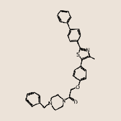 Cc1nc(-c2ccc(-c3ccccc3)cc2)sc1-c1ccc(OCC(=O)N2CCN(Cc3ccccc3)CC2)cc1